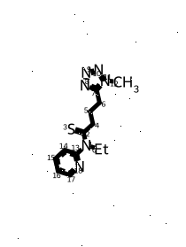 CCN(C(=S)CCCc1nnnn1C)c1ccccn1